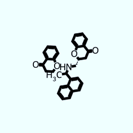 CC(NC[C@H]1CC(=O)c2ccccc2O1)c1cccc2ccccc12.O=C1CCOc2ccccc21